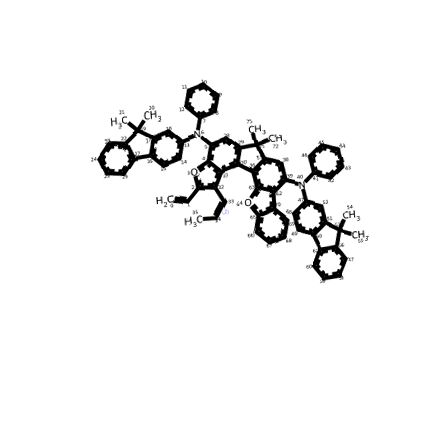 C=Cc1oc2c(N(c3ccccc3)c3ccc4c(c3)C(C)(C)c3ccccc3-4)cc3c(c2c1/C=C\C)-c1c(cc(N(c2ccccc2)c2ccc4c(c2)C(C)(C)c2ccccc2-4)c2c1oc1ccccc12)C3(C)C